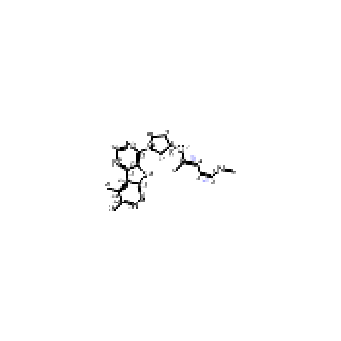 C=N/C=C\C=C(/C)O[C@@H]1CCN(c2ncnc3c2sc2nnc(C)c(C)c23)C1